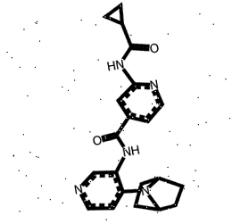 O=C(Nc1cnccc1N1C2CCC1CC2)c1ccnc(NC(=O)C2CC2)c1